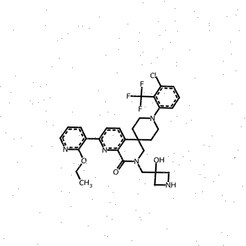 CCOc1ncccc1-c1ccc2c(n1)C(=O)N(CC1(O)CNC1)CC21CCN(c2cccc(Cl)c2C(F)(F)F)CC1